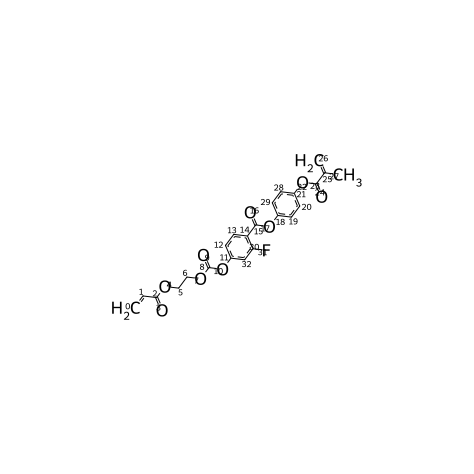 C=CC(=O)OCCOC(=O)Oc1ccc(C(=O)Oc2ccc(OC(=O)C(=C)C)cc2)c(F)c1